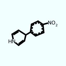 O=[N+]([O-])c1ccc(C2C=CNC=C2)cc1